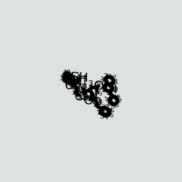 CCC(NC(=O)C1CC(Oc2cc(-c3ccccc3)nc3ccccc23)CN1C(=O)OCc1ccccc1)B1OC2CC3CC(C3(C)C)C2(C)O1